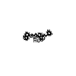 O=C(O)C1CN(C[C@@H](O)COc2cccc3ncccc23)CCN1C(=O)CCc1cccnc1